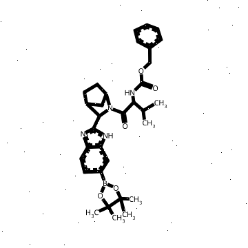 CC(C)C(NC(=O)OCc1ccccc1)C(=O)N1C2CCC(C2)C1c1nc2ccc(B3OC(C)(C)C(C)(C)O3)cc2[nH]1